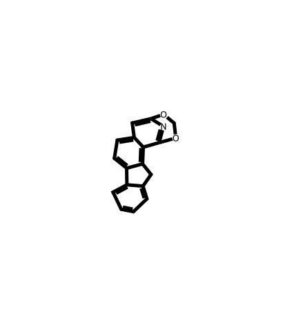 c1ccc2c(c1)Cc1c-2ccc2cc3nc(c12)OCO3